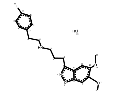 COc1cc2onc(CCCNCCc3ccc(F)cc3)c2cc1OC.Cl